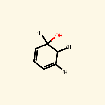 [2H]C1=CC=CC([2H])(O)C1[2H]